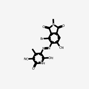 Cc1c(/N=N/c2c(C#N)cc3c(c2Br)C(=O)N(C)C3=O)c(O)[nH]c(=O)c1C#N